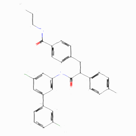 CC(C)(C)c1ccc(C(Cc2ccc(C(=O)NCCS(=O)(=O)O)cc2)C(=O)Nc2cc(Cl)cc(-c3cccc(Cl)c3)c2)cc1